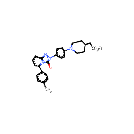 CCOC(=O)CC1CCN(c2ccc(-n3nc4cccc(-c5ccc(C(F)(F)F)cc5)n4c3=O)cc2)CC1